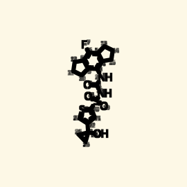 O=C(Nc1c2c(c(F)c3c1CCC3)CCC2)NS(=O)(=O)c1cc(C2(O)CC2)cs1